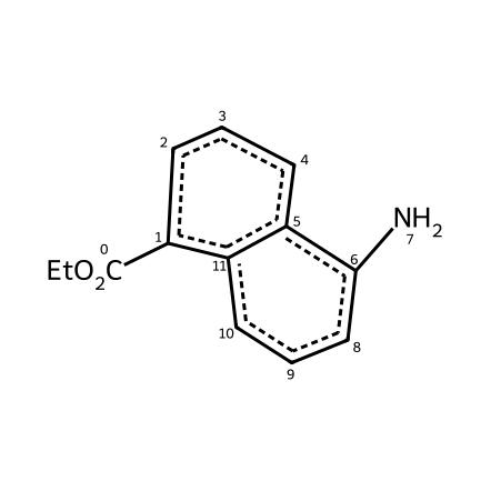 CCOC(=O)c1cccc2c(N)cccc12